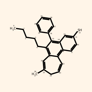 CCCCCc1c2c(c3ccc(S)cc3c1-c1ccccc1)C=CCC(C)=C2